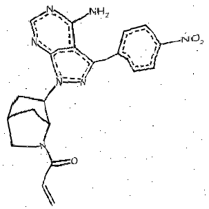 C=CC(=O)N1CC2CC1C(n1nc(-c3ccc([N+](=O)[O-])cc3)c3c(N)ncnc31)C2